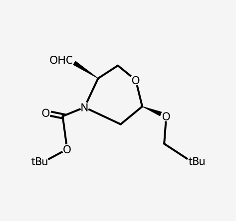 CC(C)(C)CO[C@H]1CN(C(=O)OC(C)(C)C)[C@@H](C=O)CO1